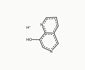 Oc1cncc2cccnc12.[H+]